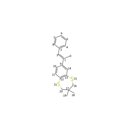 CC(=Cc1ccccc1)c1ccc2c(c1)SCC(C)(C)CS2